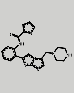 O=C(Nc1ccccc1-c1cn2c(CN3CCNCC3)csc2n1)c1cccs1